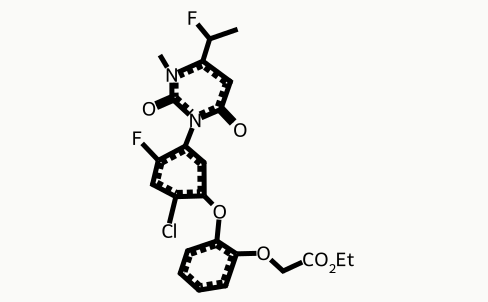 CCOC(=O)COc1ccccc1Oc1cc(-n2c(=O)cc(C(C)F)n(C)c2=O)c(F)cc1Cl